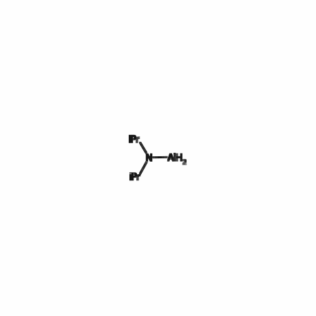 CC(C)[N]([AlH2])C(C)C